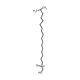 CC(C)CCCCCCCCCCCCCCC[NH+]([O-])CO